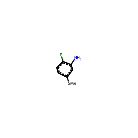 CSc1ccc(F)c(N)c1